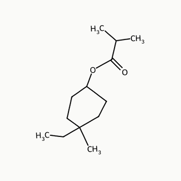 CCC1(C)CCC(OC(=O)C(C)C)CC1